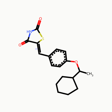 CC(Oc1ccc(/C=C2\SC(=O)NC2=O)cc1)C1CCCCC1